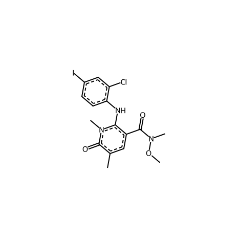 CON(C)C(=O)c1cc(C)c(=O)n(C)c1Nc1ccc(I)cc1Cl